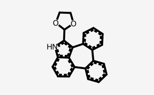 c1ccc2c(c1)-c1ccccc1-c1c(C3OCCO3)[nH]c3cccc-2c13